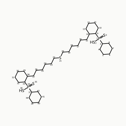 S=P(S)(C1CCCCC1)C1CCCCC1CCCCCCSCCCCCCC1CCCCC1P(=S)(S)C1CCCCC1